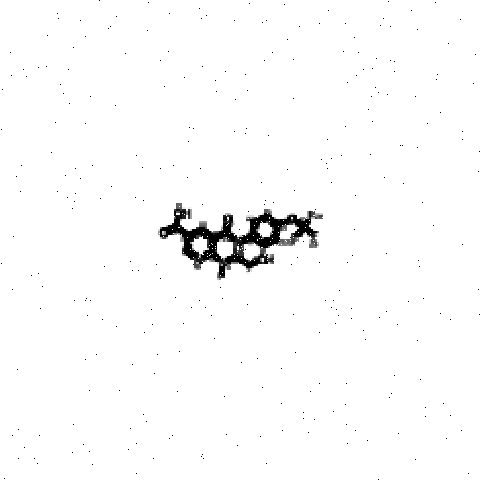 CN(CCO)c1ncc(C(=O)O)cc1C(=O)Nc1ccc(OC(F)(F)F)cc1